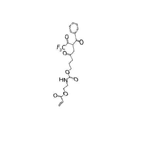 C=CC(=O)OCCNC(=O)OCCCC(=O)CC(C(=O)c1ccccc1)C(=O)C(F)(F)F